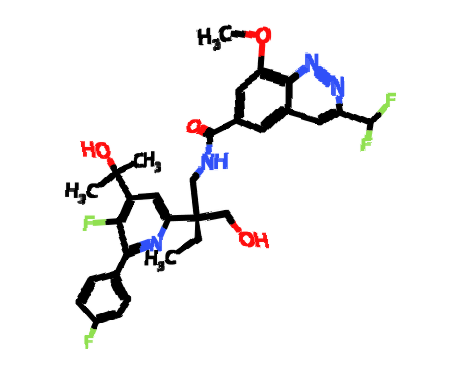 CC[C@](CO)(CNC(=O)c1cc(OC)c2nnc(C(F)F)cc2c1)c1cc(C(C)(C)O)c(F)c(-c2ccc(F)cc2)n1